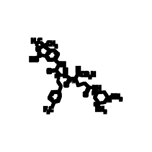 CC1(C)OB(O)c2cc(NC(=O)[C@@H](CCc3ccc(C(F)(F)F)cc3)NC(=O)[C@H](CCC(=O)N[C@H]3C[C@H](N)C[C@H](N)C3)NC(=O)O)ccc21